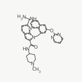 CN1CCC(NC(=O)c2cc3ccc(C(=N)N)nc3n2Cc2cc(Oc3ncccn3)cc3ccccc23)CC1